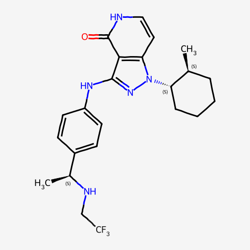 C[C@H](NCC(F)(F)F)c1ccc(Nc2nn([C@H]3CCCC[C@@H]3C)c3cc[nH]c(=O)c23)cc1